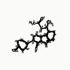 CC(=O)NN(C)c1ccnc2sc3c(=O)n(-c4ccc(Cl)cc4)cnc3c12